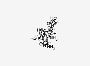 Cc1cn([C@H]2C[C@H](O)[C@@H](COP(=O)(O)O[C@H]3[C@@H](OCC(N)=O)[C@H](n4ccc(N)nc4=O)O[C@@H]3CO)O2)c(=O)[nH]c1=O